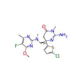 COc1nc(N(C)C[C@@]2(c3ccc(Cl)s3)CC(=O)N(C)C(N)=N2)nc(C)c1F